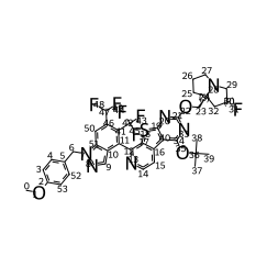 COc1ccc(Cn2ncc3c(-c4nccc5c4sc4nc(OC[C@@]67CCCN6C[C@H](F)C7)nc(OC(C)(C)C)c45)c(C(F)(F)F)c(C(F)F)cc32)cc1